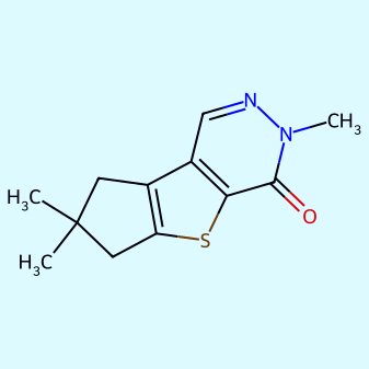 Cn1ncc2c3c(sc2c1=O)CC(C)(C)C3